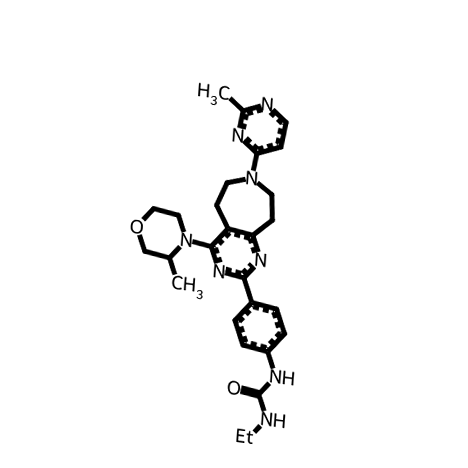 CCNC(=O)Nc1ccc(-c2nc3c(c(N4CCOCC4C)n2)CCN(c2ccnc(C)n2)CC3)cc1